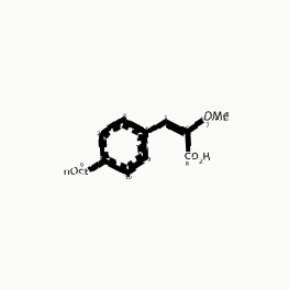 CCCCCCCCc1ccc(C=C(OC)C(=O)O)cc1